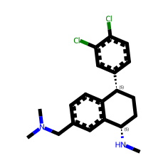 CN[C@H]1CC[C@@H](c2ccc(Cl)c(Cl)c2)c2ccc(CN(C)C)cc21